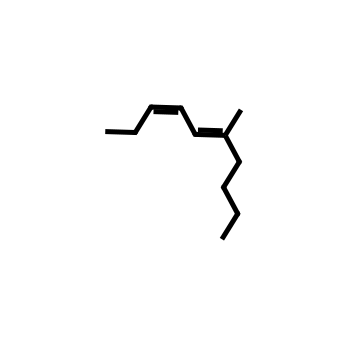 CC/C=C\C=C(/C)CCCC